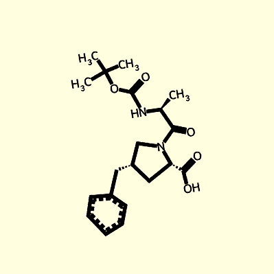 C[C@H](NC(=O)OC(C)(C)C)C(=O)N1C[C@@H](Cc2ccccc2)C[C@H]1C(=O)O